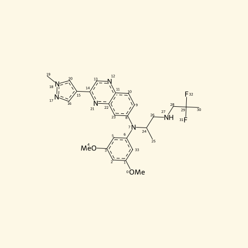 COc1cc(OC)cc(N(c2ccc3ncc(-c4cnn(C)c4)nc3c2)C(C)CNCC(C)(F)F)c1